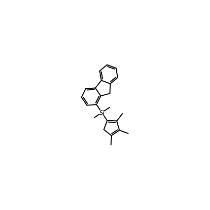 CC1=C(C)C(C)=C([Si](C)(C)c2cccc3c2Cc2ccccc2-3)C1